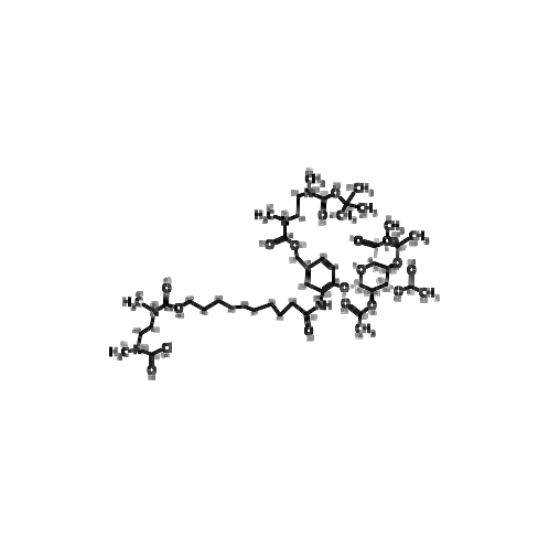 COC(=O)[C@H]1O[C@@H](Oc2ccc(COC(=O)N(C)CCN(C)C(=O)OC(C)(C)C)cc2NC(=O)CCCCCCCCCOC(=O)N(C)CCN(C)C(=O)Cl)[C@H](OC(C)=O)[C@@H](OC(C)=O)[C@@H]1OC(C)=O